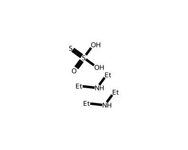 CCNCC.CCNCC.O=S(O)(O)=S